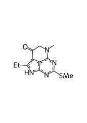 CCc1[nH]c2nc(SC)nc3c2c1C(=O)CN3C